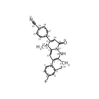 CC1=C(c2ccc(F)cc2F)C=C2N(C)C(c3ccc(C#N)cc3)=CC(=O)N2N1